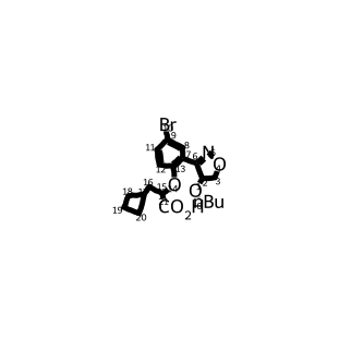 CCCCOC1CON=C1c1cc(Br)ccc1OC(CC1CCC1)C(=O)O